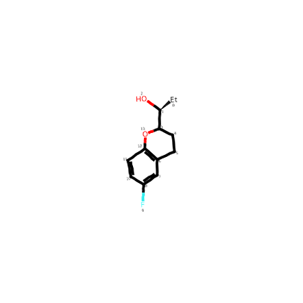 CC[C@H](O)C1CCc2cc(F)ccc2O1